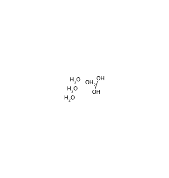 O.O.O.O.OO